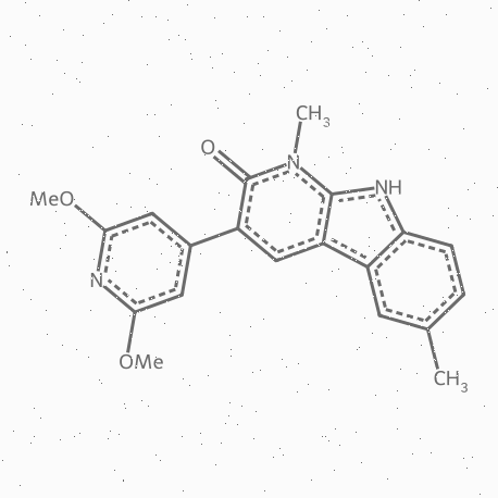 COc1cc(-c2cc3c4cc(C)ccc4[nH]c3n(C)c2=O)cc(OC)n1